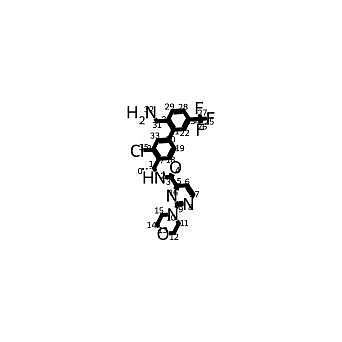 C[C@@H](NC(=O)c1ccnc(N2CCOCC2)n1)c1ccc(-c2cc(C(F)(F)F)ccc2CN)cc1Cl